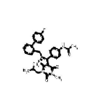 CC(=O)Nc1ccc(-c2c3c(=O)n(C)c(=O)n(CC(C)C)c3nn2Cc2ccccc2-c2ccc(F)cc2)cc1